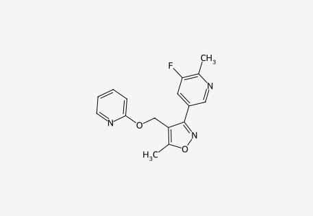 Cc1ncc(-c2noc(C)c2COc2ccccn2)cc1F